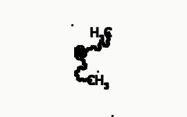 CCCCC/C=C\C/C=C\C/C=C\C/C=C\CCCCOP(=O)(F)OCCCC/C=C\C/C=C\C/C=C\C/C=C\CCCCC